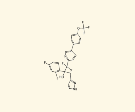 OC(Cc1cc[nH]n1)(c1ccc(F)cc1F)C(F)(F)c1ccc(-c2ccc(OC(F)(F)F)cc2)cn1